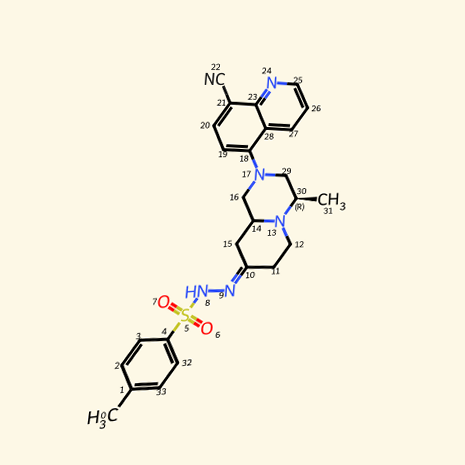 Cc1ccc(S(=O)(=O)NN=C2CCN3C(C2)CN(c2ccc(C#N)c4ncccc24)C[C@H]3C)cc1